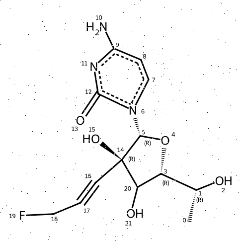 C[C@@H](O)[C@H]1O[C@@H](n2ccc(N)nc2=O)[C@@](O)(C#CCF)C1O